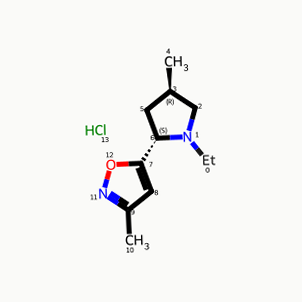 CCN1C[C@H](C)C[C@H]1c1cc(C)no1.Cl